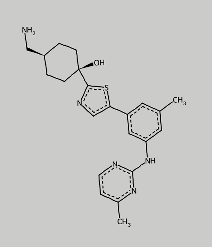 Cc1cc(Nc2nccc(C)n2)cc(-c2cnc([C@]3(O)CC[C@@H](CN)CC3)s2)c1